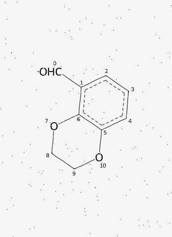 O=[C]c1cccc2c1OCCO2